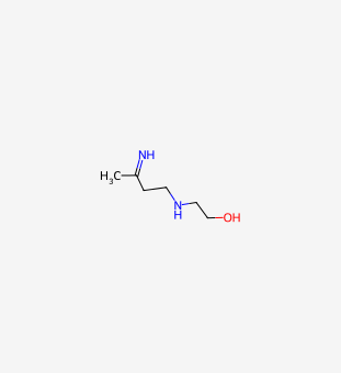 CC(=N)CCNCCO